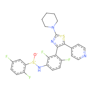 [O-][S+](Nc1ccc(F)c(-c2nc(N3CCCCC3)sc2-c2ccncc2)c1F)c1cc(F)ccc1F